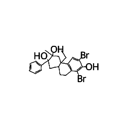 CCC12CC(C)(O)C(O)(c3ccccc3)CC1CCc1c2cc(Br)c(O)c1Br